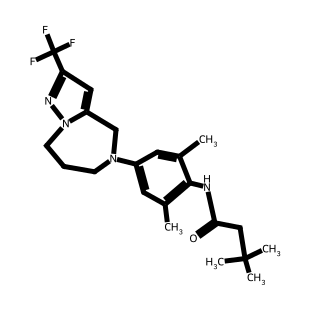 Cc1cc(N2CCCn3nc(C(F)(F)F)cc3C2)cc(C)c1NC(=O)CC(C)(C)C